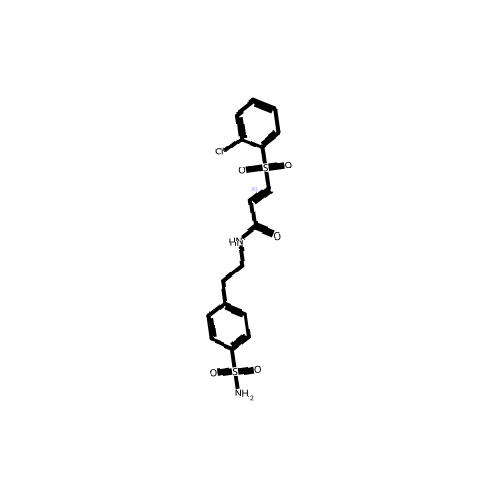 NS(=O)(=O)c1ccc(CCNC(=O)/C=C/S(=O)(=O)c2ccccc2Cl)cc1